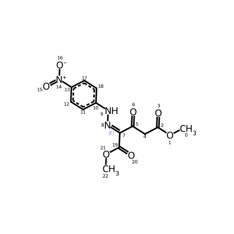 COC(=O)CC(=O)/C(=N\Nc1ccc([N+](=O)[O-])cc1)C(=O)OC